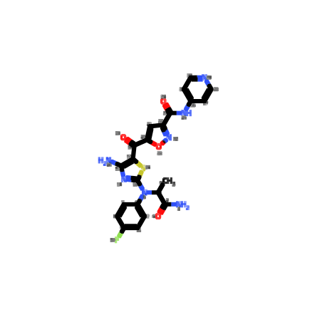 CC(C(N)=O)N(c1ccc(F)cc1)c1nc(N)c(C(=O)c2cc(C(=O)Nc3ccncc3)no2)s1